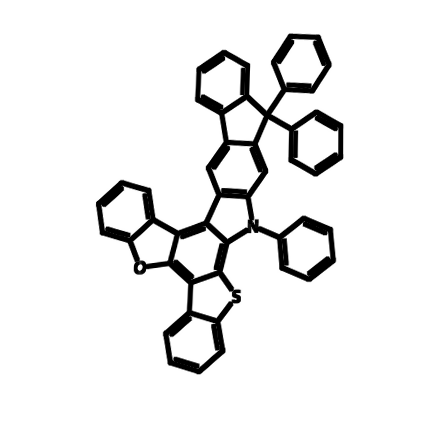 c1ccc(-n2c3cc4c(cc3c3c5c6ccccc6oc5c5c6ccccc6sc5c32)-c2ccccc2C4(c2ccccc2)c2ccccc2)cc1